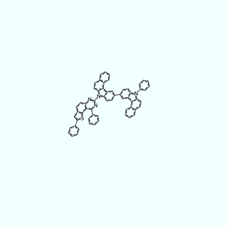 c1ccc(-c2cc3ccc4nc(-n5c6ccc(-c7ccc8c(c7)c7c9ccccc9ccc7n8-c7ccccc7)cc6c6c7ccccc7ccc65)nc(-c5ccccc5)c4c3s2)cc1